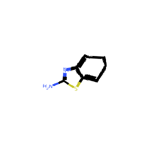 Nc1nc2c(s1)=CCCC=2